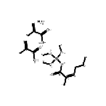 C=C(C)C(=O)O.C=C(C)C(=O)O.CCCC=C(C)C(=O)O[Si](OC)(OC)OC.O